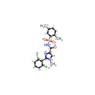 Cc1ccc(C)c(S(=O)(=O)NC(=O)c2cn(C)c(-c3c(F)cccc3F)n2)c1